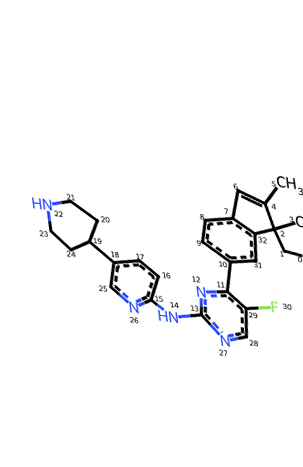 CCC1(C)C(C)=Cc2ccc(-c3nc(Nc4ccc(C5CCNCC5)cn4)ncc3F)cc21